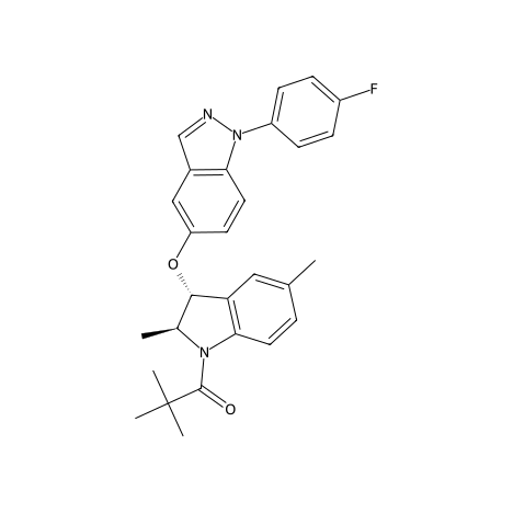 Cc1ccc2c(c1)[C@@H](Oc1ccc3c(cnn3-c3ccc(F)cc3)c1)[C@H](C)N2C(=O)C(C)(C)C